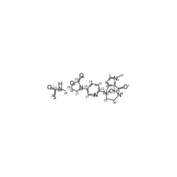 Cn1ccc2c1C(=O)N1CC[N+]2(c2ccc(N3C[C@H](CNC([O-])=S)OC3=O)cn2)CC1